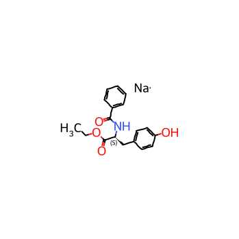 CCOC(=O)[C@H](Cc1ccc(O)cc1)NC(=O)c1ccccc1.[Na]